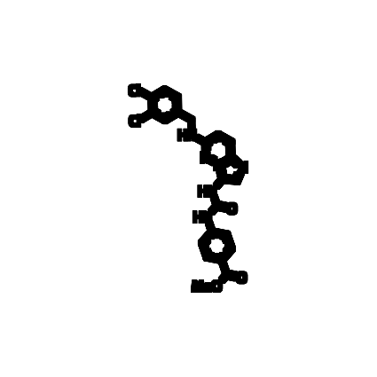 COC(=O)c1ccc(NC(=O)Nc2cnc3ccc(NCc4ccc(Cl)c(Cl)c4)nn23)cc1